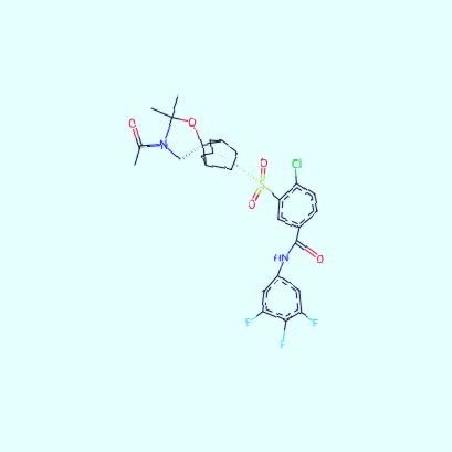 CC(=O)N1C[C@]2(OC1(C)C)C1CCC2C[C@@H](S(=O)(=O)c2cc(C(=O)Nc3cc(F)c(F)c(F)c3)ccc2Cl)C1